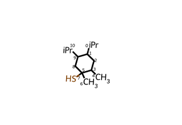 CC(C)C1CC(C)C(C)(S)CC1C(C)C